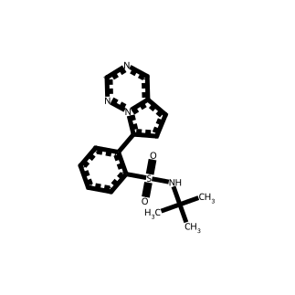 CC(C)(C)NS(=O)(=O)c1ccccc1-c1ccc2cn[c]nn12